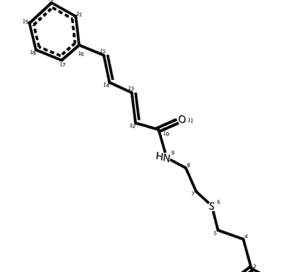 COC(=O)CCSCCNC(=O)C=CC=Cc1ccccc1